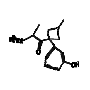 CCCCCC(C)C(=O)C1(c2cccc(O)c2)CC(C)C1